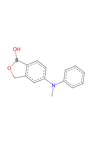 CN(c1ccccc1)c1ccc2c(c1)COB2O